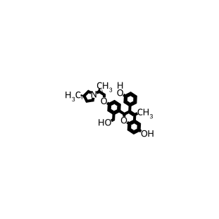 CC1=C(c2cccc(O)c2)C(c2ccc(OC[C@H](C)N3CC[C@@H](C)C3)cc2CO)Oc2ccc(O)cc21